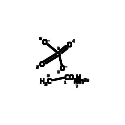 CC(=O)O.O=S(=O)([O-])[O-].[Mn+2]